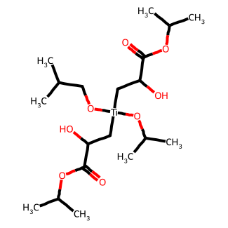 CC(C)C[O][Ti]([CH2]C(O)C(=O)OC(C)C)([CH2]C(O)C(=O)OC(C)C)[O]C(C)C